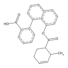 CC1C=CCCC1C(=O)Oc1cccc2cccc(-c3ccccc3C(=O)O)c12